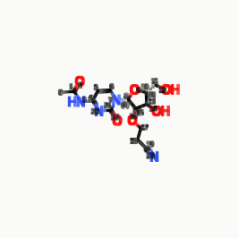 CC(=O)Nc1ccn([C@@H]2O[C@H](CO)C(O)[C@@H]2OCCC#N)c(=O)n1